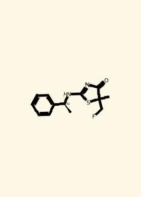 C[C@H](NC1=NC(=O)C(C)(CF)S1)c1ccccc1